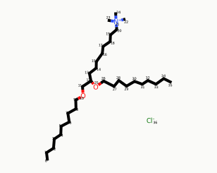 CCCCCCCCCCOCC(CCCCCCCC[N+](C)(C)C)OCCCCCCCCCC.[Cl-]